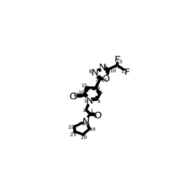 O=C(Cn1ccc(-c2nnc(C(F)F)o2)cc1=O)N1CCCC1